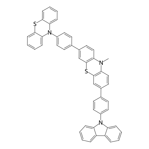 CN1c2ccc(-c3ccc(N4c5ccccc5Sc5ccccc54)cc3)cc2Sc2cc(-c3ccc(-n4c5ccccc5c5ccccc54)cc3)ccc21